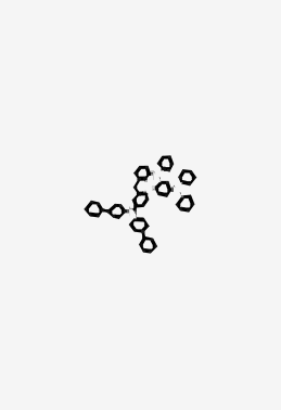 c1ccc(-c2ccc(N(c3ccc(-c4ccccc4)cc3)c3ccc4c(c3)Cc3cccc5c3B4c3ccc(N(c4ccccc4)c4ccccc4)cc3N5c3ccccc3)cc2)cc1